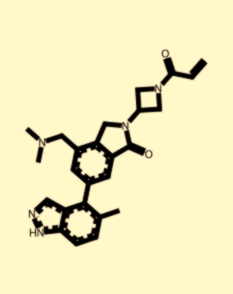 C=CC(=O)N1CC(N2Cc3c(CN(C)C)cc(-c4c(C)ccc5[nH]ncc45)cc3C2=O)C1